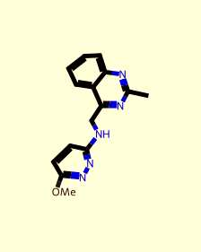 COc1ccc(NCc2nc(C)nc3ccccc23)nn1